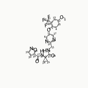 COc1ccc(Oc2cnc(CNC(=O)C3(NC(=O)c4ccno4)CC3)nc2)c(C(F)(F)F)c1